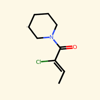 CC=C(Cl)C(=O)N1C[CH]CCC1